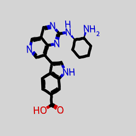 N[C@H]1CCCC[C@H]1Nc1ncc2cncc(-c3c[nH]c4cc(C(=O)O)ccc34)c2n1